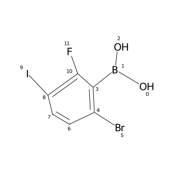 OB(O)c1c(Br)ccc(I)c1F